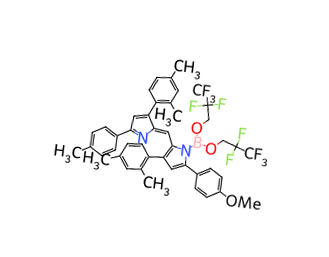 COc1ccc(-c2cc(-c3ccc(C)cc3C)c(/C=C3\N=C(c4ccc(C)cc4)C=C3c3ccc(C)cc3C)n2B(OCC(F)(F)C(F)(F)F)OCC(F)(F)C(F)(F)F)cc1